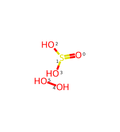 O=S(O)O.OO